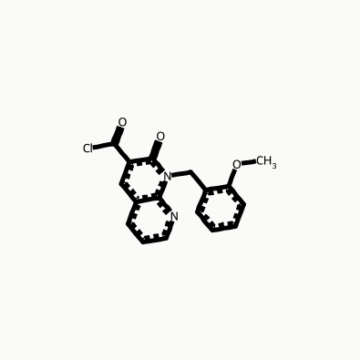 COc1ccccc1Cn1c(=O)c(C(=O)Cl)cc2cccnc21